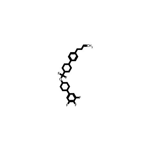 C=CCCc1ccc(C2CCC(C(F)(F)OC3CCC(c4cc(F)c(F)c(F)c4)CC3)CC2)cc1